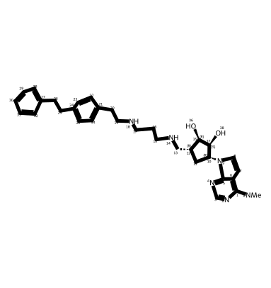 CNc1ncnc2c1ccn2[C@@H]1C[C@H](CNCCCNCCc2ccc(CCc3ccccc3)cc2)[C@@H](O)[C@H]1O